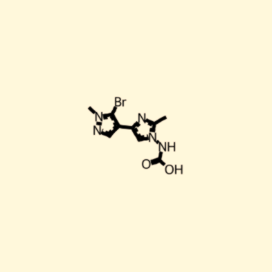 Cc1nc(-c2cnn(C)c2Br)cn1NC(=O)O